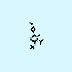 CC(C)[C@@H](C(=O)OC(C)(C)C)N(C)C(=O)[C@H]1C[C@@H](C=O)C1